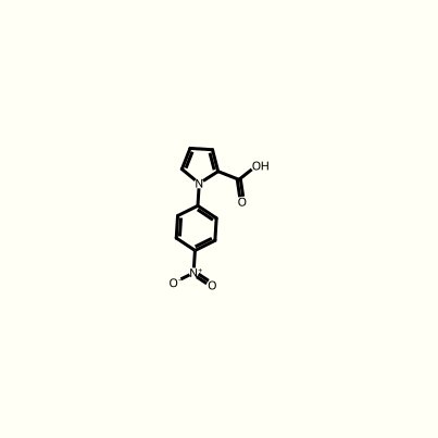 O=C(O)c1cccn1-c1ccc([N+](=O)[O-])cc1